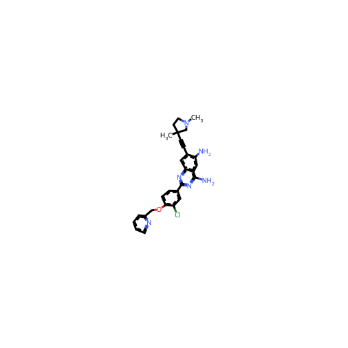 CN1CCC(C)(C#Cc2cc3nc(-c4ccc(OCc5ccccn5)c(Cl)c4)nc(N)c3cc2N)C1